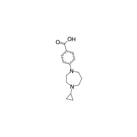 O=C(O)c1ccc(N2CCCN(C3CC3)CC2)cc1